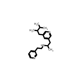 CC(Cc1cncc(CC(C)C(C)C)c1)NCCc1cccnc1